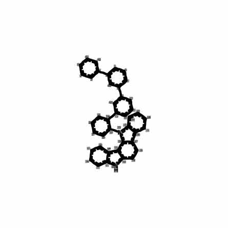 c1ccc(-c2cccc(-c3cccc(-c4ccccc4-n4c5ccccc5c5ccc6[nH]c7ccccc7c6c54)c3)c2)cc1